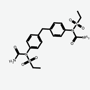 CCS(=O)(=O)N(C(N)=O)c1ccc(Cc2ccc(N(C(N)=O)S(=O)(=O)CC)cc2)cc1